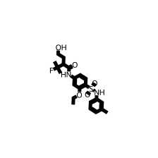 CCOc1cc(NC(=O)C(CCO)C(C)(C)F)ccc1S(=O)(=O)Nc1cccc(C)c1